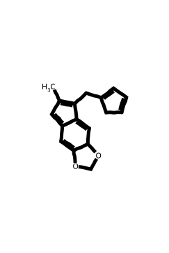 CC1=C(CC2=CC=CC2)C2=CC3OCOC3=CC2=C1